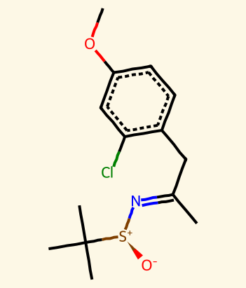 COc1ccc(CC(C)=N[S@@+]([O-])C(C)(C)C)c(Cl)c1